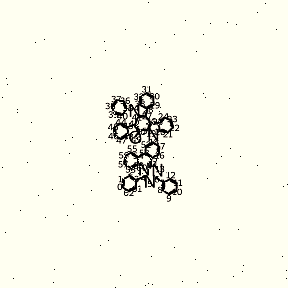 c1ccc(-c2nc(-c3ccccc3)nc(-c3ccc(-n4c5ccccc5c5c6c7ccccc7n(-c7ccccc7)c6c6c7ccccc7oc6c54)cc3-c3ccccc3)n2)cc1